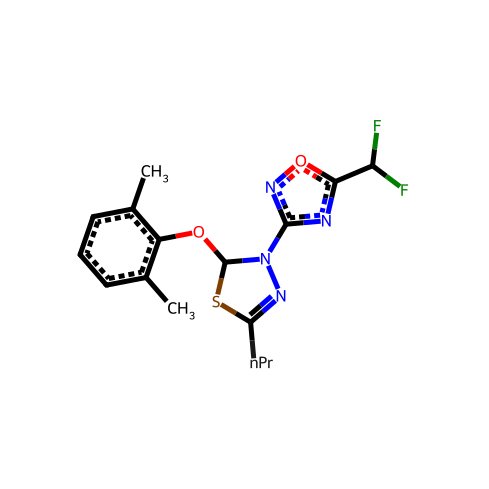 CCCC1=NN(c2noc(C(F)F)n2)C(Oc2c(C)cccc2C)S1